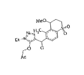 CCn1ncc(C(=O)c2ccc3c(c2C)C(OC)CCS3(=O)=O)c1OCC(C)=O